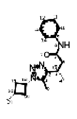 Cc1c([C@@H](C)CC(=O)Nc2ccccc2)nnn1[C@H]1C[C@@H](C)C1